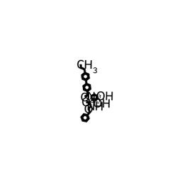 CCCc1ccc(-c2ccc(C(=O)N3C[C@H](O)[C@H](O)[C@H]3C(=O)NOCc3ccccc3)cc2)cc1